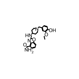 CCOc1cc(CN2CCC(Nc3nc4c(C(N)=O)[c]ccc4o3)CC2)ccc1O